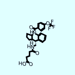 O=C(O)CCCC(=O)NC[C@H]1c2ccccc2N(C(=O)c2ccc(OC(F)(F)F)cc2)[C@@H]2CCC[C@@H]21